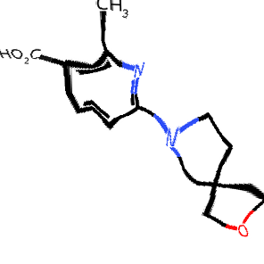 Cc1nc(N2CCC3(COC3)C2)ccc1C(=O)O